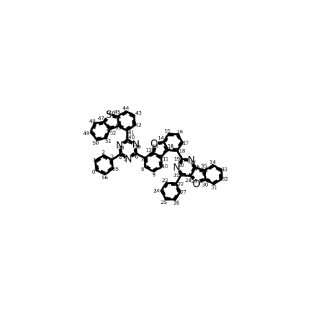 c1ccc(-c2nc(-c3cccc4c3oc3cccc(-c5nc(-c6ccccc6)c6oc7ccccc7c6n5)c34)nc(-c3cccc4sc5ccccc5c34)n2)cc1